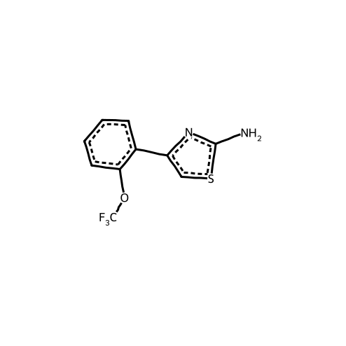 Nc1nc(-c2ccccc2OC(F)(F)F)cs1